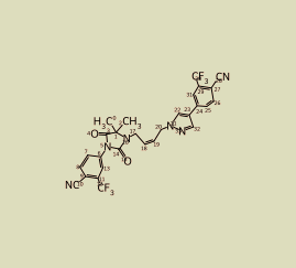 CC1(C)C(=O)N(c2ccc(C#N)c(C(F)(F)F)c2)C(=O)N1C/C=C\Cn1cc(-c2ccc(C#N)c(C(F)(F)F)c2)cn1